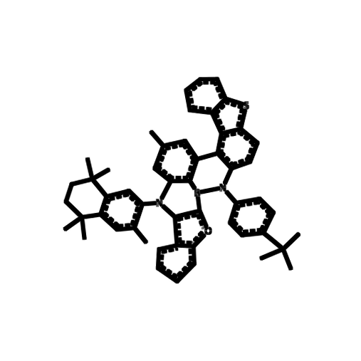 Cc1cc2c3c(c1)N(c1cc4c(cc1C)C(C)(C)CCC4(C)C)c1c(oc4ccccc14)B3N(c1ccc(C(C)(C)C)cc1)c1ccc3sc4ccccc4c3c1-2